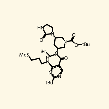 CSCCCNc1nc(C(C)(C)C)ncc1C(=O)N(CC(C)C)[C@H]1C[C@@H](N2CCNC2=O)CN(C(=O)OC(C)(C)C)C1